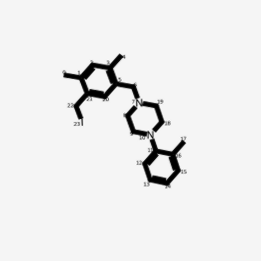 Cc1cc(C)c(CN2CCN(c3ccccc3C)CC2)cc1CI